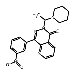 CC(N1CCCCC1)n1nc(-c2cccc([N+](=O)[O-])c2)c2ncccc2c1=O